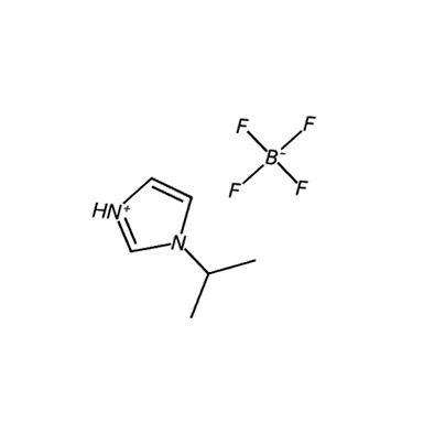 CC(C)n1cc[nH+]c1.F[B-](F)(F)F